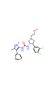 COCCN1C[C@@H](NC(=O)Nc2c(-c3ccccc3)c(C)nn2C)[C@H](c2ccc(F)c(F)c2)C1